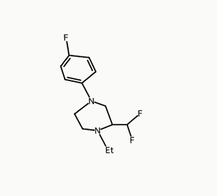 CCN1CCN(c2ccc(F)cc2)CC1C(F)F